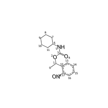 CC(OC(=O)NC1CCCCC1)c1ccccc1N=O